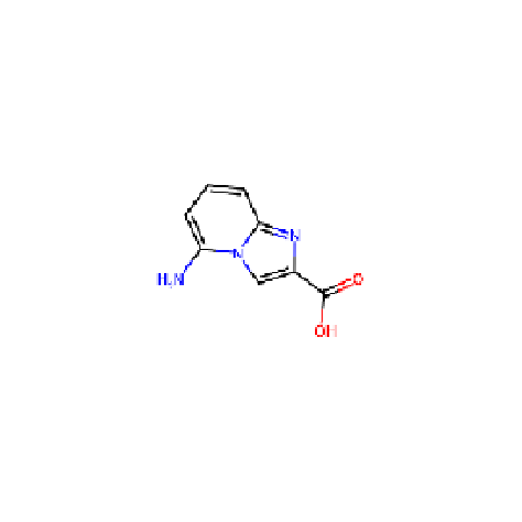 Nc1cccc2nc(C(=O)O)cn12